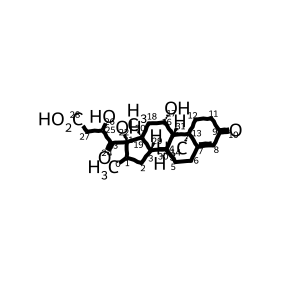 CC1C[C@H]2[C@@H]3CCC4=CC(=O)CC[C@]4(C)[C@H]3[C@@H](O)C[C@]2(C)[C@@]1(O)C(=O)C(O)CC(=O)O